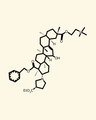 CCOC(=O)[C@@H]1CCN([C@H]2CC[C@@]3(C)C(CC[C@]4(C)[C@@H]3C(O)C=C3[C@@H]5C[C@@](C)(C(=O)OCC[Si](C)(C)C)CC[C@]5(C)CC[C@]34C)[C@]2(C)C(=O)OCc2ccccc2)C1